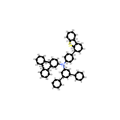 c1ccc(-c2cc(-c3ccccc3)cc(N(c3ccc(-c4cccc5c4sc4ccccc45)cc3)c3ccc4c5ccccc5c5ccccc5c4c3)c2)cc1